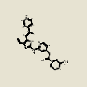 C=Cc1nc(Nc2cc(CC(=O)N3CCCC(O)C3)ccn2)sc1/C=C(\C)c1ccncc1